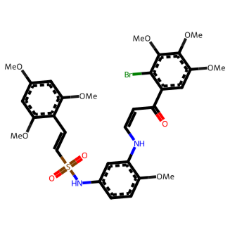 COc1cc(OC)c(/C=C/S(=O)(=O)Nc2ccc(OC)c(N/C=C\C(=O)c3cc(OC)c(OC)c(OC)c3Br)c2)c(OC)c1